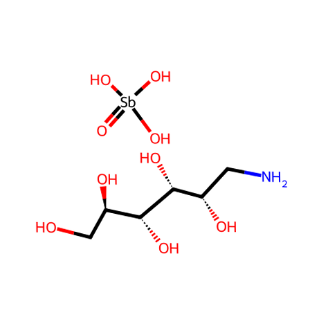 NC[C@H](O)[C@@H](O)[C@H](O)[C@H](O)CO.[O]=[Sb]([OH])([OH])[OH]